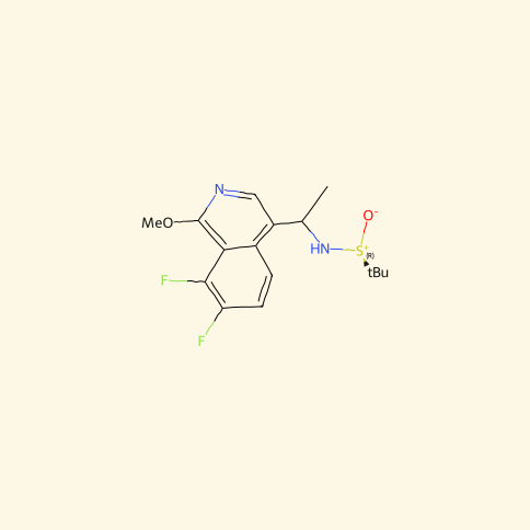 COc1ncc(C(C)N[S@@+]([O-])C(C)(C)C)c2ccc(F)c(F)c12